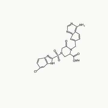 COC(=O)C1CN(S(=O)(=O)c2nc3ccc(Cl)cc3[nH]2)CC(=O)N1Cc1ccc2c(N)ncnc2c1